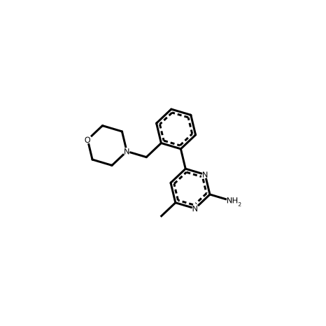 Cc1cc(-c2ccccc2CN2CCOCC2)nc(N)n1